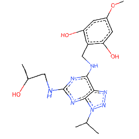 COc1cc(O)c(CNc2nc(NCC(C)O)nc3c2nnn3C(C)C)c(O)c1